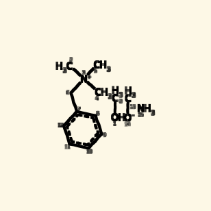 CO.C[N+](C)(C)Cc1ccccc1.C[O-].N